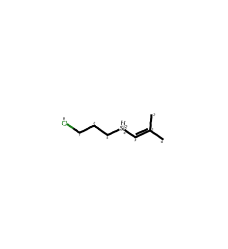 CC(C)=C[SiH2]CCCCl